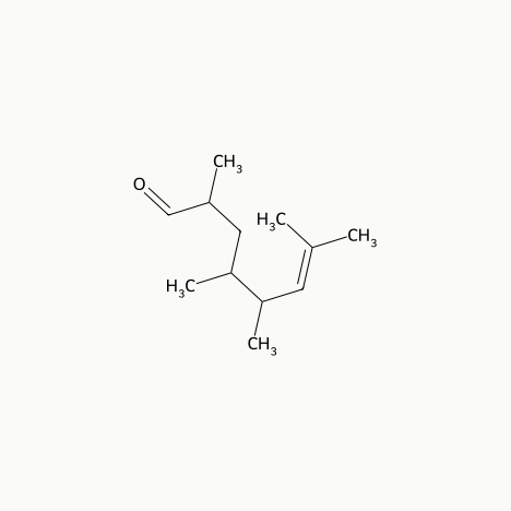 CC(C)=CC(C)C(C)CC(C)C=O